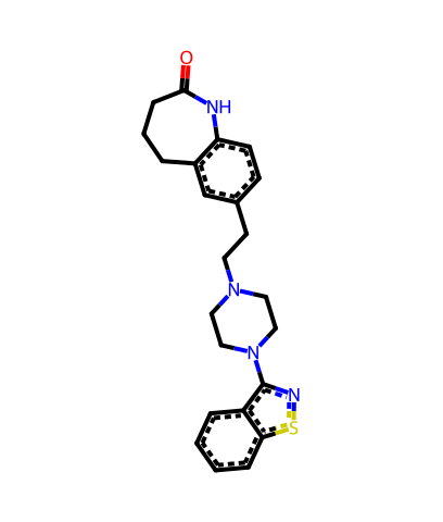 O=C1CCCc2cc(CCN3CCN(c4nsc5ccccc45)CC3)ccc2N1